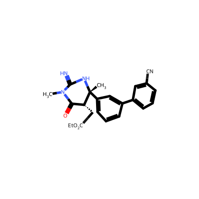 CCOC(=O)C[C@@H]1C(=O)N(C)C(=N)N[C@]1(C)c1cccc(-c2cccc(C#N)c2)c1